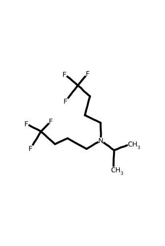 CC(C)N(CCCC(F)(F)F)CCCC(F)(F)F